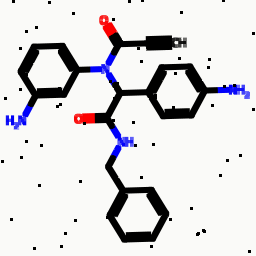 C#CC(=O)N(c1cccc(N)c1)C(C(=O)NCc1ccccc1)c1ccc(N)cc1